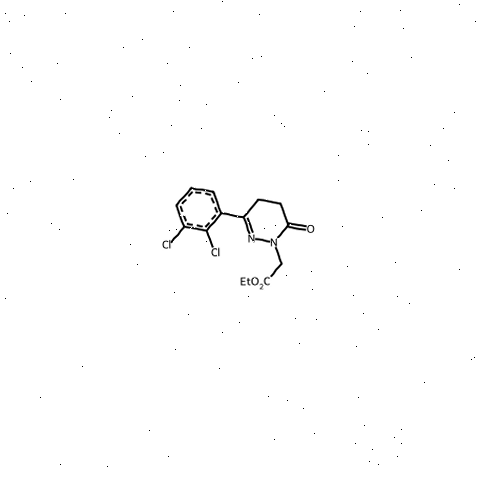 CCOC(=O)CN1N=C(c2cccc(Cl)c2Cl)CCC1=O